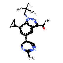 CC(=O)c1nn(CC(C)(C)C)c2c(C3CC3)cc(-c3cnc(C)nc3)cc12